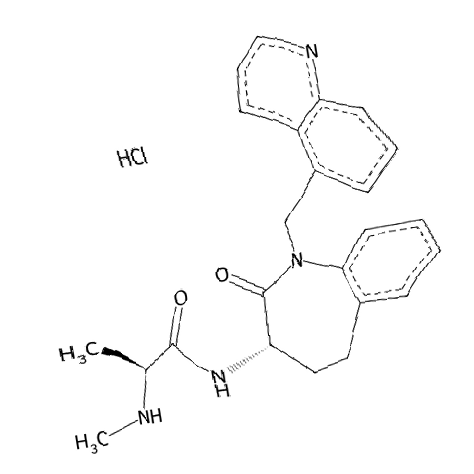 CN[C@@H](C)C(=O)N[C@H]1CCc2ccccc2N(Cc2cccc3ncccc23)C1=O.Cl